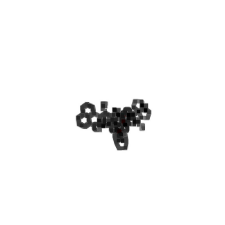 CC(C)(C)OC(=O)N1C2CCC1CN(c1nc(OCC34CCCN3CCC4)nc3c(F)c(-c4cccc5cccc(Cl)c45)ncc13)C2